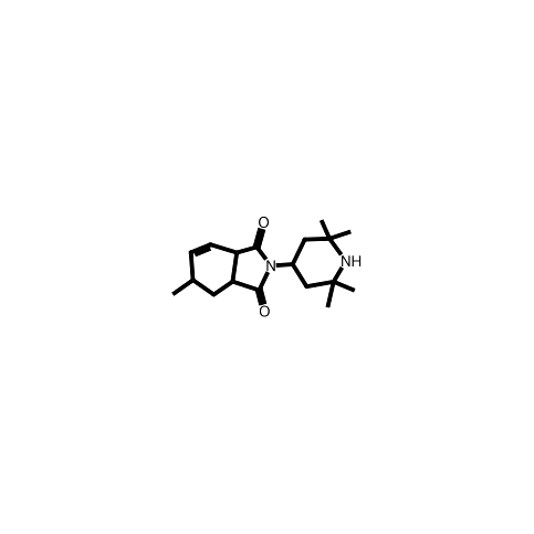 CC1C=CC2C(=O)N(C3CC(C)(C)NC(C)(C)C3)C(=O)C2C1